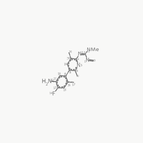 C=N/C(=N\c1nc(C)c(-c2cc(N)c(F)cc2C)cc1C)NC